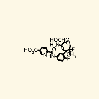 CC1(c2cc(NC(=O)c3ccc(C(=O)O)cn3)ccc2F)N=C(N)COCC1(F)F.O=CO